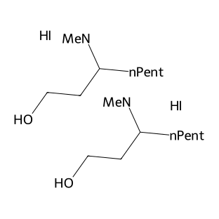 CCCCCC(CCO)NC.CCCCCC(CCO)NC.I.I